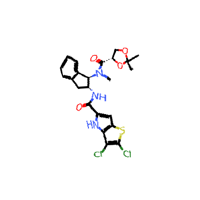 CN(C(=O)[C@@H]1COC(C)(C)O1)[C@@H]1c2ccccc2C[C@H]1NC(=O)c1cc2sc(Cl)c(Cl)c2[nH]1